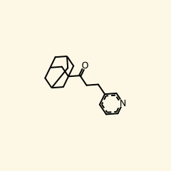 O=C(CCc1cccnc1)C12CC3CC(CC(C3)C1)C2